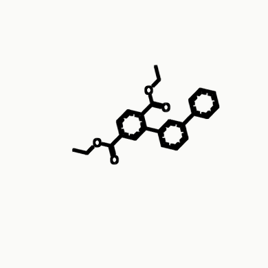 CCOC(=O)c1ccc(C(=O)OCC)c(-c2cccc(-c3ccccc3)c2)c1